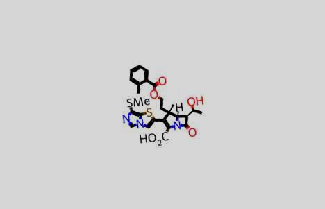 CSc1ncn2cc(C3=C(C(=O)O)N4C(=O)[C@H](C(C)O)[C@@H]4[C@@]3(C)CCOC(=O)c3ccccc3C)sc12